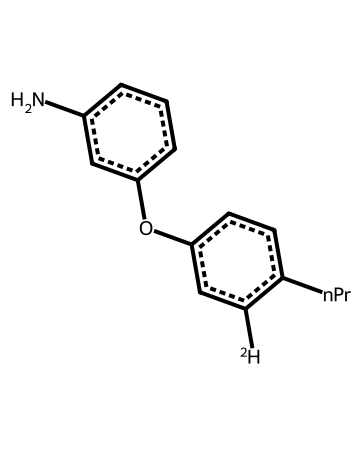 [2H]c1cc(Oc2cccc(N)c2)ccc1CCC